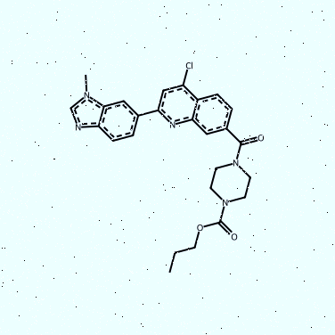 CCCOC(=O)N1CCN(C(=O)c2ccc3c(Cl)cc(-c4ccc5ncn(C)c5c4)nc3c2)CC1